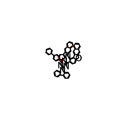 C1=C=Cc2c(c3cc4ccccc4cc3n2-c2c(-c3nc(-c4ccc(-c5ccccc5)cc4)nc(-n4c5ccccc5c5ccccc54)n3)ccc3oc4cc5ccccc5cc4c23)C=1